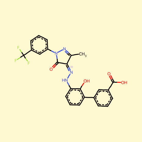 CC1=NN(c2cccc(C(F)(F)F)c2)C(=O)/C1=N\Nc1cccc(-c2cccc(C(=O)O)c2)c1O